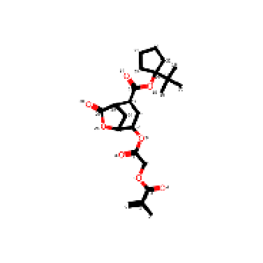 C=C(C)C(=O)OCC(=O)OC1CC(C(=O)OC2(C(C)(C)C)CCCC2)C2CC1OC2=O